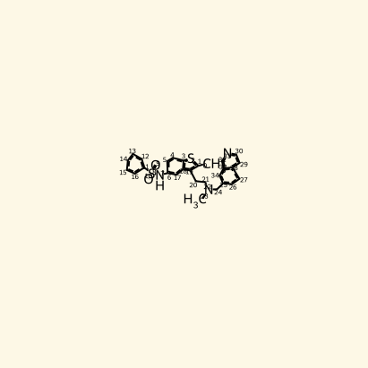 Cc1sc2ccc(NS(=O)(=O)c3ccccc3)cc2c1CCN(C)Cc1ccc2ccncc2c1